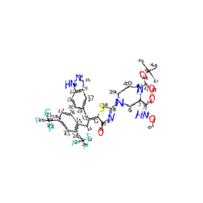 CONC(=O)C1CN(C2=NC(=O)C(=C(Cc3ccc(C(F)(F)F)cc3C(F)(F)F)c3ccc4[nH]ncc4c3)S2)CCN1C(=O)OC(C)(C)C